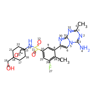 Cc1nc(N)n2cc(-c3cc(S(=O)(=O)NC45CCC(CO)(CC4)OC5)cc(F)c3C)nc2n1